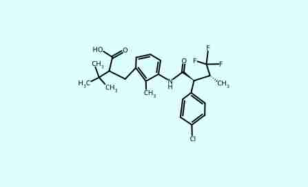 Cc1c(CC(C(=O)O)C(C)(C)C)cccc1NC(=O)[C@H](c1ccc(Cl)cc1)[C@@H](C)C(F)(F)F